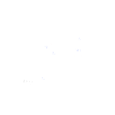 CC1CCCCN1c1ccc(-c2nc(-c3cccc(CN(C)CC(=O)O)c3)no2)cc1NS(C)(=O)=O